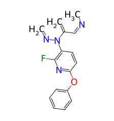 C=NN(C(=C)/C=N\C)c1ccc(Oc2ccccc2)nc1F